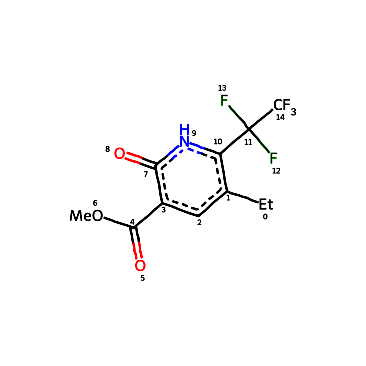 CCc1cc(C(=O)OC)c(=O)[nH]c1C(F)(F)C(F)(F)F